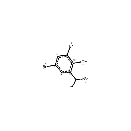 CC(Br)c1cc(Br)cc(Br)c1O